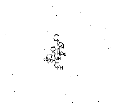 Cl.Cl.Cl.O=C(NCCC1C(Nc2nccc(N3CCCCCC3)n2)CCCN1C1CCS(=O)(=O)CC1)C1CCNCC1